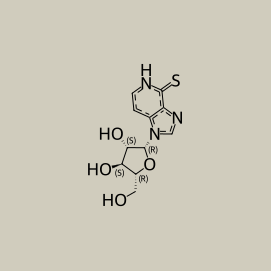 OC[C@H]1O[C@@H](n2cnc3c(=S)[nH]ccc32)[C@@H](O)[C@@H]1O